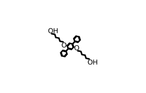 OCCCCCCOc1cc(-c2ccccc2)c(OCCCCCCO)cc1-c1ccccc1